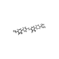 CCCC(O)C1CCC(c2ccc(CCC3=CCC(c4ccc(OCC)c(F)c4F)C=C3)c(F)c2F)CC1